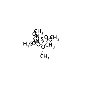 CCCCOC(=O)C(Sc1nc(OC)cc(OC)n1)C(C)C(=O)OC